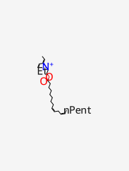 C/C=C(\C=C/CC)[N+](C)(C)CCOC(=O)CCCCCCC/C=C\C/C=C\CCCCC